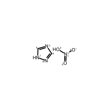 O=[N+]([O-])O.c1nc[nH]n1